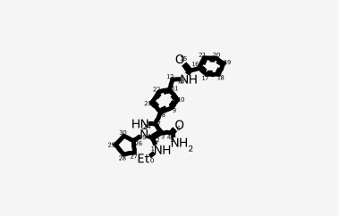 CCNC1=C(C(N)=O)C(c2ccc(CNC(=O)c3ccccc3)cc2)NN1C1CCCC1